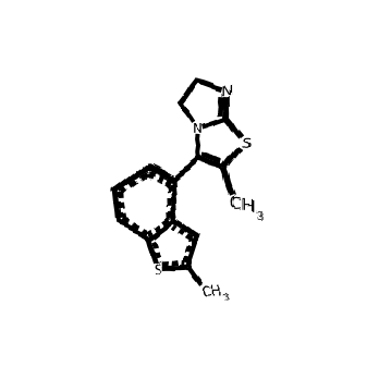 CC1=C(c2cccc3sc(C)cc23)N2CCN=C2S1